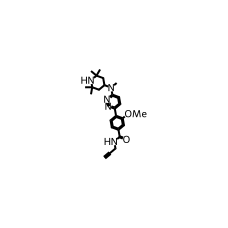 C#CCNC(=O)c1ccc(-c2ccc(N(C)C3CC(C)(C)NC(C)(C)C3)nn2)c(OC)c1